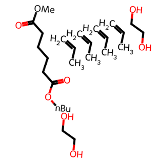 C=CC.C=CC.C=CC.C=CC.CCCCOC(=O)CCCCC(=O)OC.OCCO.OCCO